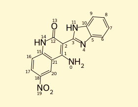 Nc1c(-c2nc3ccccc3[nH]2)c(=O)[nH]c2ccc([N+](=O)[O-])cc12